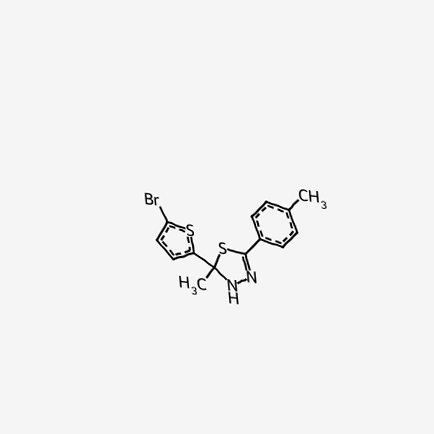 Cc1ccc(C2=NNC(C)(c3ccc(Br)s3)S2)cc1